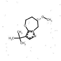 CO[C@H]1CCOc2c(C(C)(C)C)cnn2C1